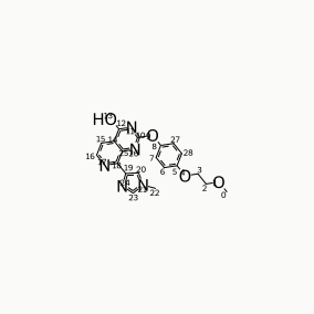 COCCOc1ccc(Oc2nc(O)c3ccnc(-c4cn(C)cn4)c3n2)cc1